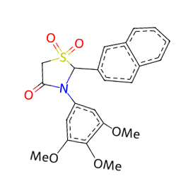 COc1cc(N2C(=O)CS(=O)(=O)C2c2ccc3ccccc3c2)cc(OC)c1OC